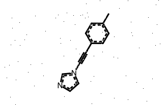 Cc1ccc(C#Cn2ccnc2)cc1